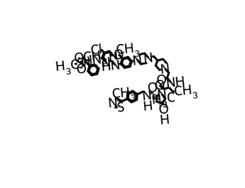 COc1cc(N2CCN(CC3CCN(CC(=O)NC(C(=O)N4C[C@H](O)C[C@@H]4C(=O)NCc4ccc(-c5scnc5C)cc4)C(C)C)CC3)CC2)ccc1Nc1ncc(Cl)c(Nc2ccccc2N(C)S(C)(=O)=O)n1